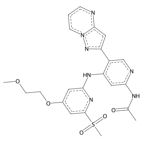 COCCOc1cc(Nc2cc(NC(C)=O)ncc2-c2cc3ncccn3n2)nc(S(C)(=O)=O)c1